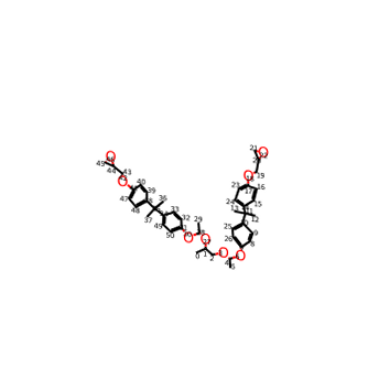 CC(COC(C)Oc1ccc(C(C)(C)c2ccc(OCC3CO3)cc2)cc1)OC(C)Oc1ccc(C(C)(C)c2ccc(OCC3CO3)cc2)cc1